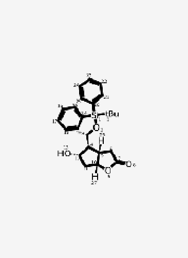 CC(C)(C)[Si](OC[C@H]1[C@@H]2CC(=O)O[C@@H]2C[C@@H]1O)(c1ccccc1)c1ccccc1